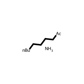 CCCCCCCCC(C)=O.N